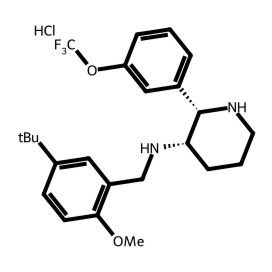 COc1ccc(C(C)(C)C)cc1CN[C@H]1CCCN[C@H]1c1cccc(OC(F)(F)F)c1.Cl